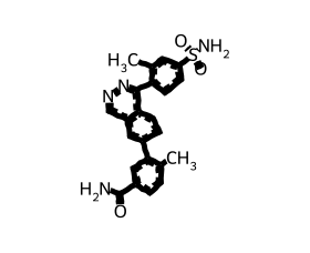 Cc1ccc(C(N)=O)cc1-c1ccc2c(-c3ccc(S(N)(=O)=O)cc3C)nncc2c1